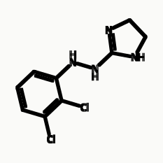 Clc1cccc(NNC2=NCCN2)c1Cl